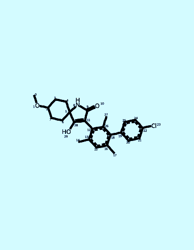 COC1CCC2(CC1)NC(=O)C(c1c(C)cc(C)c(-c3ccc(Cl)cc3)c1C)=C2O